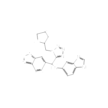 c1nc2cc(NC(c3ccc4nsnc4c3)c3nnnn3CC3CCCO3)ccc2[nH]1